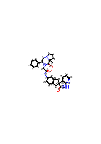 CC12CCCN1CC(c1ccccc1)N(CC(=O)Nc1ccc3c(c1)CC1(C3)C(=O)Nc3ncccc31)C2=O